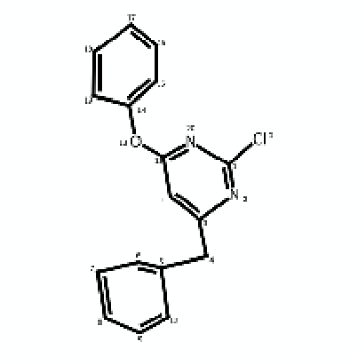 Clc1nc(Cc2ccccc2)cc(Oc2ccccc2)n1